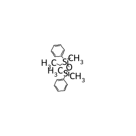 CC[Si](C)(O[Si](C)(C)c1ccccc1)c1ccccc1